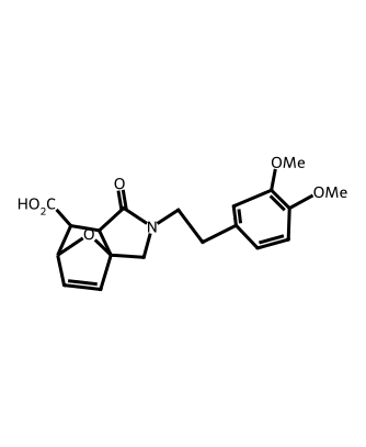 COc1ccc(CCN2CC34C=CC(O3)C(C(=O)O)C4C2=O)cc1OC